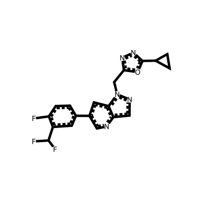 Fc1ccc(-c2cnc3cnn(Cc4nnc(C5CC5)o4)c3c2)cc1C(F)F